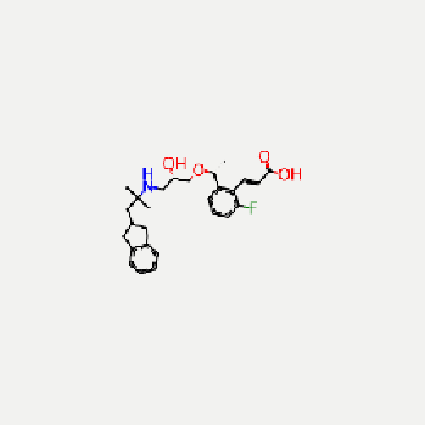 C[C@@H](OC[C@@H](O)CNC(C)(C)CC1Cc2ccccc2C1)c1cccc(F)c1/C=C/C(=O)O